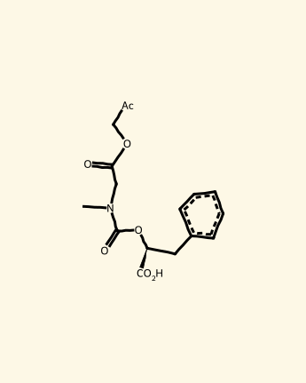 CC(=O)COC(=O)CN(C)C(=O)O[C@@H](Cc1ccccc1)C(=O)O